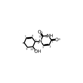 O=c1ccn(C2C=CCCC2O)c(=O)[nH]1